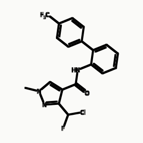 Cn1cc(C(=O)Nc2ccccc2-c2ccc(C(F)(F)F)cc2)c(C(F)Cl)n1